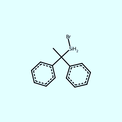 CC([SiH2]Br)(c1ccccc1)c1ccccc1